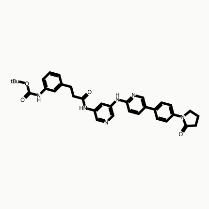 CC(C)(C)OC(=O)Nc1cccc(CCC(=O)Nc2cncc(Nc3ccc(-c4ccc(N5CCCC5=O)cc4)cn3)c2)c1